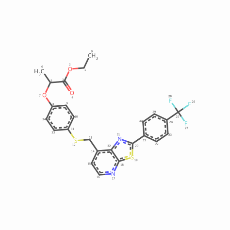 CCOC(=O)C(C)Oc1ccc(SCc2ccnc3sc(-c4ccc(C(F)(F)F)cc4)nc23)cc1